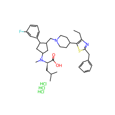 CCc1nc(Cc2ccccc2)sc1C1CCN(CC2CC(N(C)[C@H](CC(C)C)C(=O)O)CC2c2cccc(F)c2)CC1.Cl.Cl.Cl